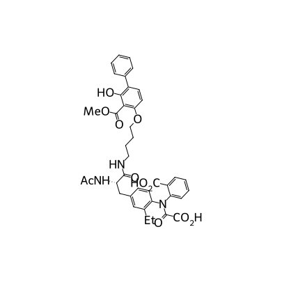 CCc1cc(C[C@H](NC(C)=O)C(=O)NCCCCOc2ccc(-c3ccccc3)c(O)c2C(=O)OC)ccc1N(C(=O)C(=O)O)c1ccccc1C(=O)O